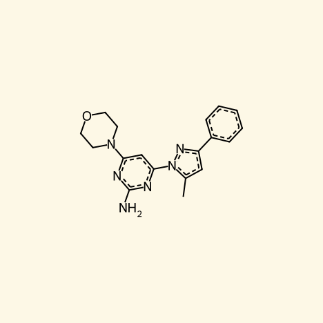 Cc1cc(-c2ccccc2)nn1-c1cc(N2CCOCC2)nc(N)n1